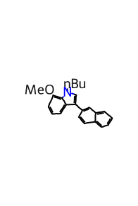 CCCCn1cc(-c2ccc3ccccc3c2)c2cccc(OC)c21